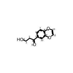 O=C(CCO)c1ccc2c(c1)OC=CO2